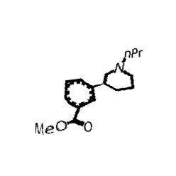 CCCN1CCC[C@@H](c2cccc(C(=O)OC)c2)C1